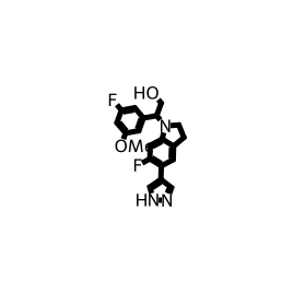 COc1cc(F)cc(C(CO)N2CCc3cc(-c4cn[nH]c4)c(F)cc32)c1